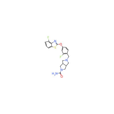 NC(=O)N1CC2CN(Cc3ccc(Oc4nc5c(F)cccc5s4)cc3F)CC2C1